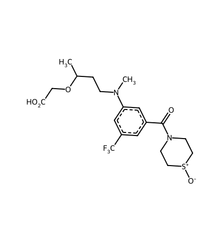 CC(CCN(C)c1cc(C(=O)N2CC[S+]([O-])CC2)cc(C(F)(F)F)c1)OCC(=O)O